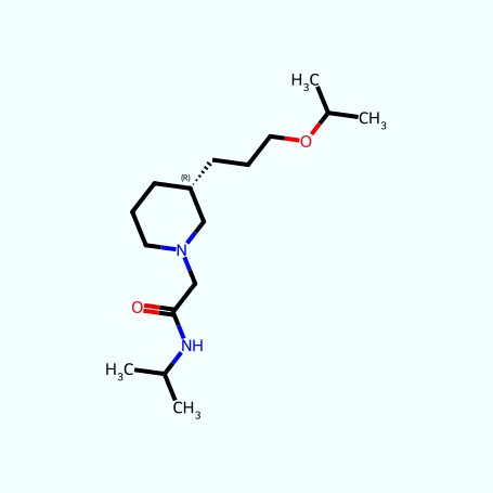 CC(C)NC(=O)CN1CCC[C@H](CCCOC(C)C)C1